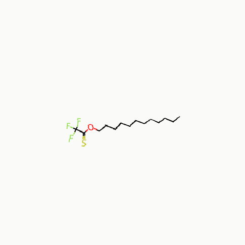 CCCCCCCCCCCCOC(=S)C(F)(F)F